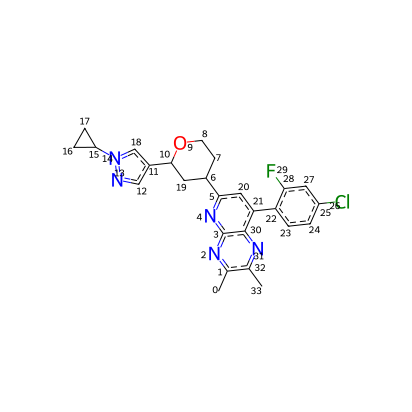 Cc1nc2nc(C3CCOC(c4cnn(C5CC5)c4)C3)cc(-c3ccc(Cl)cc3F)c2nc1C